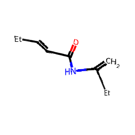 C=C(CC)NC(=O)C=CCC